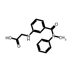 CN(C(=O)c1cccc(NCC(=O)O)c1)c1ccccc1